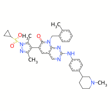 Cc1ccccc1Cn1c(=O)c(-c2c(C)nn(S(=O)(=O)C3CC3)c2C)cc2cnc(Nc3ccc(C4CCCN(C)C4)cc3)nc21